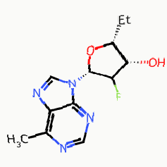 CC[C@H]1O[C@@H](n2cnc3c(C)ncnc32)C(F)[C@H]1O